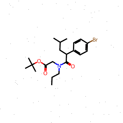 CCCN(CC(=O)OC(C)(C)C)C(=O)C(CC(C)C)c1ccc(Br)cc1